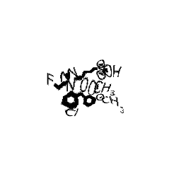 COc1cccc(C2OC(CCCS(=O)(=O)O)c3nnc(CF)n3-c3ccc(Cl)cc32)c1OC